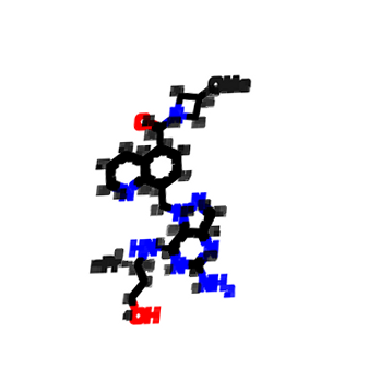 CCC[C@@H](CCO)Nc1nc(N)nc2cnn(Cc3ccc(C(=O)N4CC(OC)C4)c4cccnc34)c12